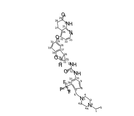 CCN1CCN(Cc2ccc(NC(=O)N[C@H]3C4c5cc(Oc6ccnc7c6CCC(=O)N7)ccc5O[C@@H]43)cc2C(F)(F)F)CC1